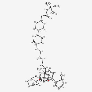 CC(C)(C)OC(=O)CN1CCN(C2CC=C(CCOCCCc3cc(N4C5CCC4CN(c4cc(-c6ccccc6O)nnc4N)C5)ccn3)C=N2)CC1